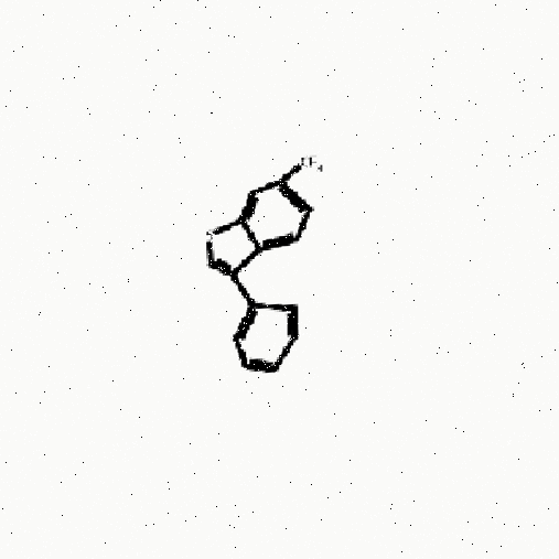 FC(F)(F)c1ccc2c(-c3ccccc3)[c]sc2c1